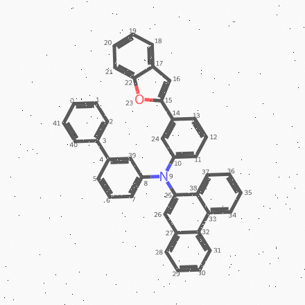 c1ccc(-c2cccc(N(c3cccc(-c4cc5ccccc5o4)c3)c3cc4ccccc4c4ccccc34)c2)cc1